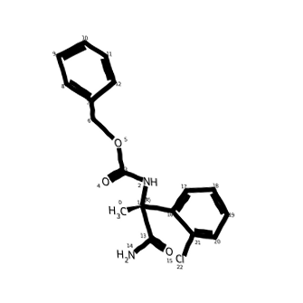 C[C@](NC(=O)OCc1ccccc1)(C(N)=O)c1ccccc1Cl